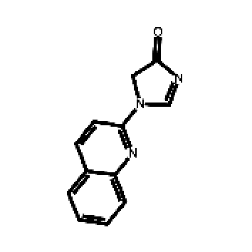 O=C1CN(c2ccc3ccccc3n2)C=N1